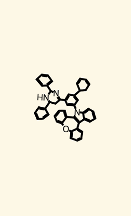 C1=CCC(c2cc(C3=NC(c4ccccc4)NC(c4ccccc4)C3)cc(-n3c4c(c5ccccc53)-c3ccccc3Oc3ccccc3-4)c2)C=C1